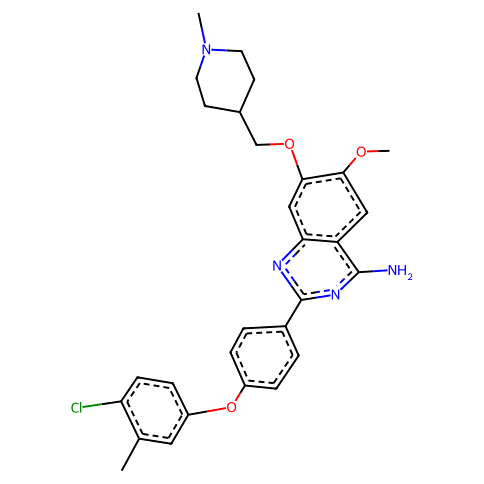 COc1cc2c(N)nc(-c3ccc(Oc4ccc(Cl)c(C)c4)cc3)nc2cc1OCC1CCN(C)CC1